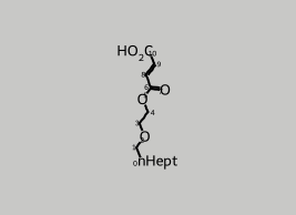 CCCCCCCCOCCOC(=O)/C=C/C(=O)O